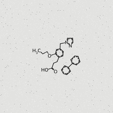 CCCOc1cc(Cn2cccn2)ccc1CCC(=O)O.c1ccc(-c2ccccc2)cc1